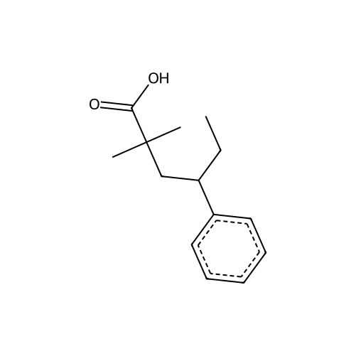 CCC(CC(C)(C)C(=O)O)c1ccccc1